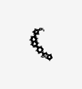 C=C(CN1CCCC1)N1CCC(c2cc3cc(-c4cnn(C)c4)ccc3cn2)CC1